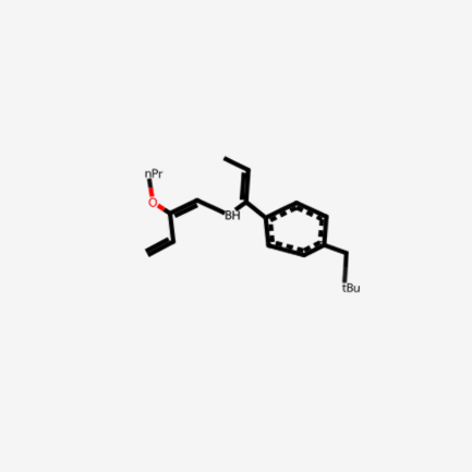 C=C/C(=C\B/C(=C\C)c1ccc(CC(C)(C)C)cc1)OCCC